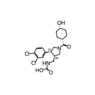 O=C(O)NC[C@@H]1CN(C(=O)[C@H]2CC[C@@H](O)CC2)C[C@@H]1c1ccc(Cl)c(Cl)c1